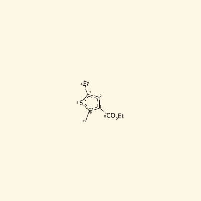 CCOC(=O)c1cc(CC)sc1C